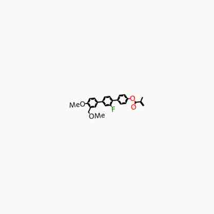 C=C(C)C(=O)Oc1ccc(-c2ccc(-c3ccc(OC)c(COC)c3)cc2F)cc1